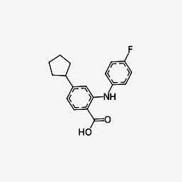 O=C(O)c1ccc(C2CCCC2)cc1Nc1ccc(F)cc1